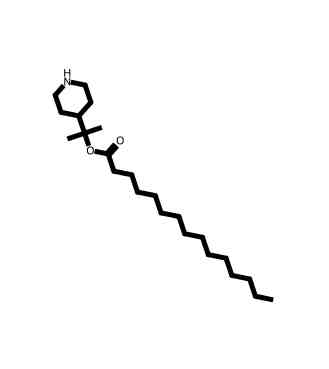 CCCCCCCCCCCCCCC(=O)OC(C)(C)C1CCNCC1